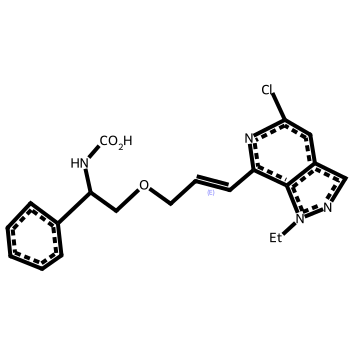 CCn1ncc2cc(Cl)nc(/C=C/COCC(NC(=O)O)c3ccccc3)c21